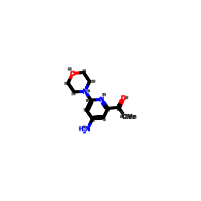 COC(=O)c1cc(N)cc(N2CCOCC2)n1